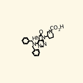 O=C(O)N1CCCC(n2c(=O)[nH]c3c(N(Cc4ccccc4)Cc4ccccc4)ncnc32)C1